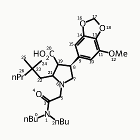 CCCCN(CCCC)C(=O)CN1C[C@H](c2cc(OC)c3c(c2)OCO3)C(C(=O)O)C1CC(C)(C)CCC